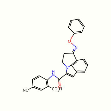 N#Cc1ccc(NC(=O)c2cc3cccc4c3n2CCC4=NOc2ccccc2)c(C(=O)O)c1